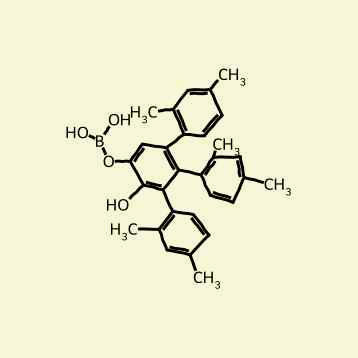 Cc1ccc(-c2cc(OB(O)O)c(O)c(-c3ccc(C)cc3C)c2-c2ccc(C)cc2C)c(C)c1